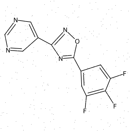 Fc1cc(-c2nc(-c3cncnc3)no2)cc(F)c1F